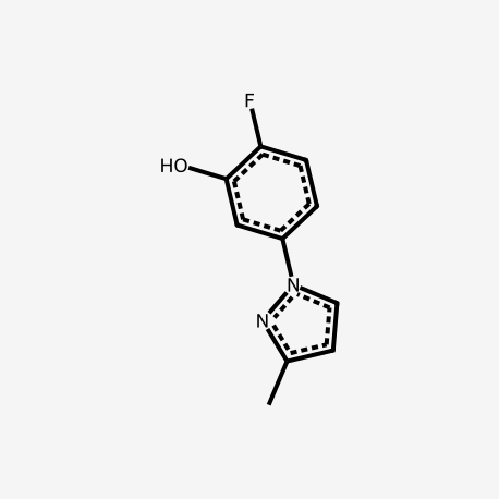 Cc1ccn(-c2ccc(F)c(O)c2)n1